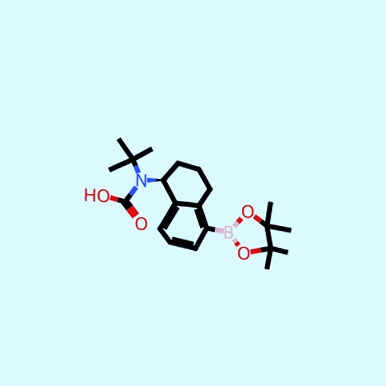 CC(C)(C)N(C(=O)O)[C@H]1CCCc2c(B3OC(C)(C)C(C)(C)O3)cccc21